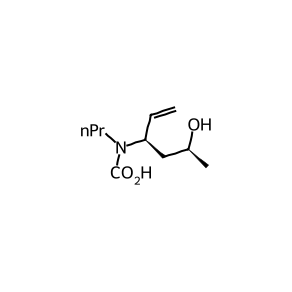 C=C[C@@H](C[C@H](C)O)N(CCC)C(=O)O